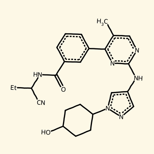 CCC(C#N)NC(=O)c1cccc(-c2nc(Nc3cnn(C4CCC(O)CC4)c3)ncc2C)c1